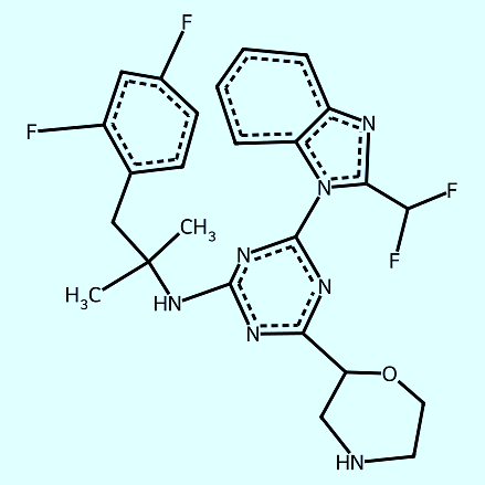 CC(C)(Cc1ccc(F)cc1F)Nc1nc(C2CNCCO2)nc(-n2c(C(F)F)nc3ccccc32)n1